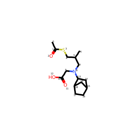 CC(=O)SCC(C)CN(CC(=O)O)C1CC2CCC1C2